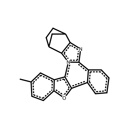 Cc1ccc2oc3c4ccccc4c4nc5c(n4c3c2c1)C1CCC5C1